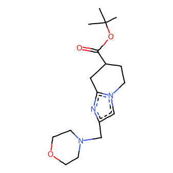 CC(C)(C)OC(=O)C1CCn2cc(CN3CCOCC3)nc2C1